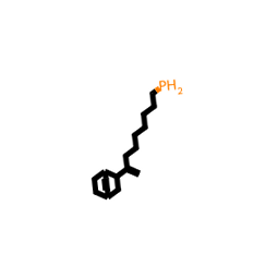 C=C(CCCCCCCP)C1CC2C=CC1CC2